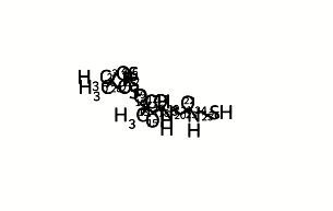 CC1(C)COP(=S)(SSOCC(C)(C)C(O)C(=O)NCCC(=O)NCCS)OC1